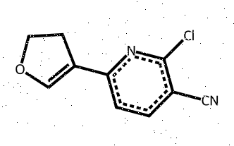 N#Cc1ccc(C2=COCC2)nc1Cl